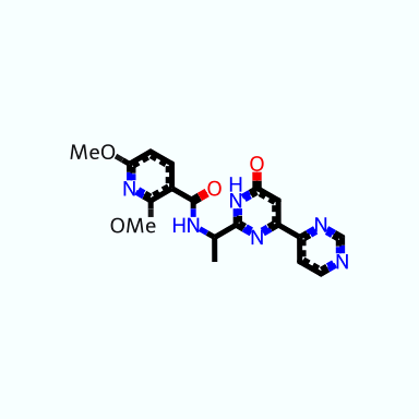 COc1ccc(C(=O)NC(C)c2nc(-c3ccncn3)cc(=O)[nH]2)c(OC)n1